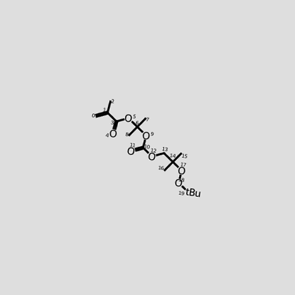 C=C(C)C(=O)OC(C)(C)OC(=O)OCC(C)(C)OOC(C)(C)C